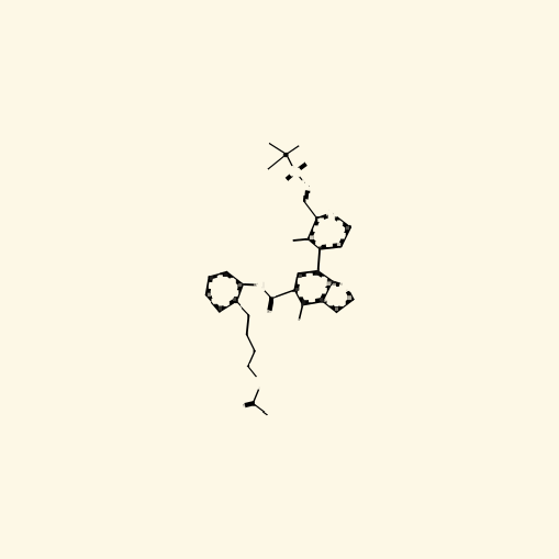 CC(=O)OCCCCc1ccccc1NC(=O)c1cc(-c2ccnc(C=NS(=O)(=O)C(C)(C)C)c2F)c2occc2c1F